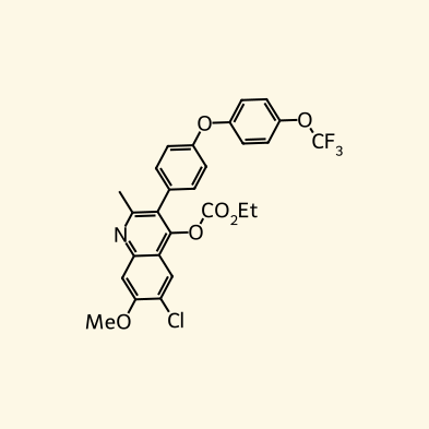 CCOC(=O)Oc1c(-c2ccc(Oc3ccc(OC(F)(F)F)cc3)cc2)c(C)nc2cc(OC)c(Cl)cc12